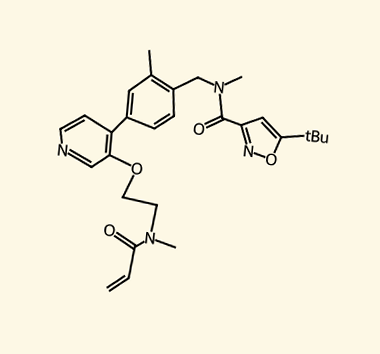 C=CC(=O)N(C)CCOc1cnccc1-c1ccc(CN(C)C(=O)c2cc(C(C)(C)C)on2)c(C)c1